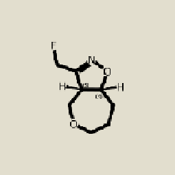 FCC1=NO[C@@H]2CCCOC[C@H]12